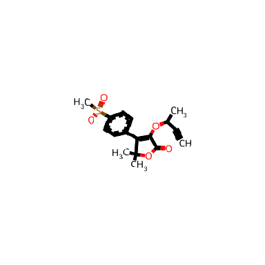 C#CC(C)OC1=C(c2ccc(S(C)(=O)=O)cc2)C(C)(C)OC1=O